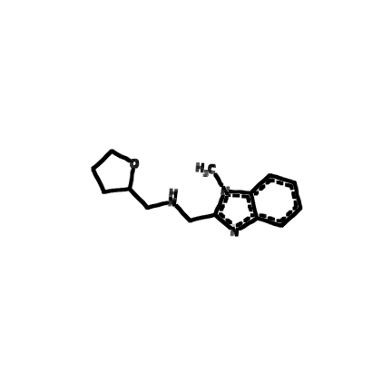 Cn1c(CNCC2CCCO2)nc2ccccc21